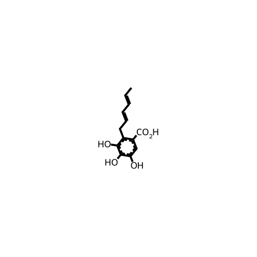 C/C=C/C=C/Cc1c(C(=O)O)cc(O)c(O)c1O